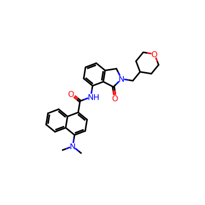 CN(C)c1ccc(C(=O)Nc2cccc3c2C(=O)N(CC2CCOCC2)C3)c2ccccc12